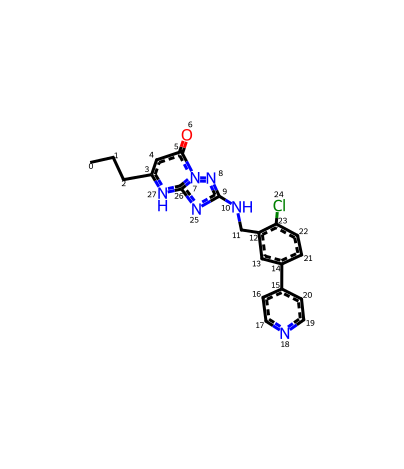 CCCc1cc(=O)n2nc(NCc3cc(-c4ccncc4)ccc3Cl)nc2[nH]1